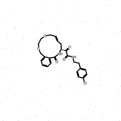 O=C(NCCc1ccc(Cl)cc1)C(=O)[C@@H]1C/C=C/COCCOCc2ccccc2C(=O)N1